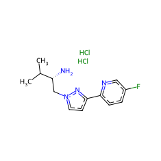 CC(C)[C@H](N)Cn1ccc(-c2ccc(F)cn2)n1.Cl.Cl